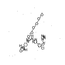 COCCOCCOCCOCCOCCOc1nn([C@H]2CC[C@H](N3[C@@H]4CC[C@H]3COC4)CC2)cc1Nc1ncc(-c2ccc(Cl)c(O[C@@H](C)Cn3cnnn3)c2)cn1